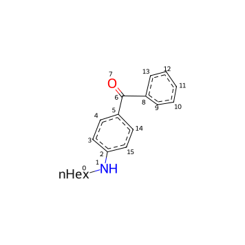 CCCCCCNc1ccc(C(=O)c2ccccc2)cc1